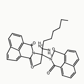 CCCCCCC(N)(N)C(CC)(N1C(=O)c2cccc3cccc(c23)C1=O)N1C(=O)c2cccc3cccc(c23)C1=O